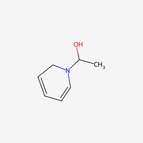 CC(O)N1C=CC=CC1